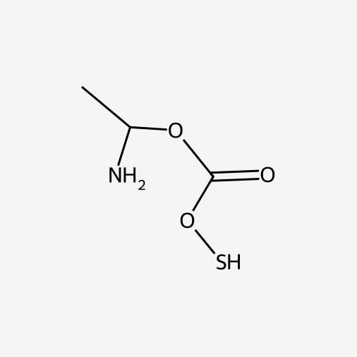 CC(N)OC(=O)OS